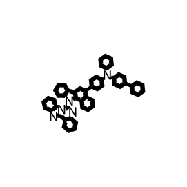 c1ccc(-c2ccc(N(c3ccccc3)c3ccc(-c4cc5c6ccccc6n(-c6nc7ccccc7c7nc8ccccc8n67)c5c5ccccc45)cc3)cc2)cc1